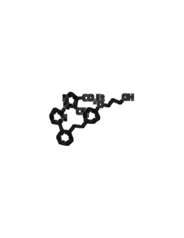 CCOC(=O)c1cnn(-c2cccc(-c3ccccc3CCc3ccc(OCCCO)cc3)n2)c1C(F)(F)F